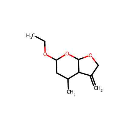 C=C1COC2OC(OCC)CC(C)C12